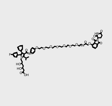 CC(C)c1c(C(=O)Nc2ccc(OCCOCCOCCOCCOCCOCCOCCNC(=O)COc3cccc4c3C(=O)N(C3CCC(=O)NC3=O)C4=O)cc2)c(-c2ccccc2)c(-c2ccc(F)cc2)n1CCC(O)CC(O)CC(=O)O